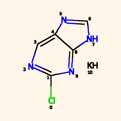 Clc1ncc2nc[nH]c2n1.[KH]